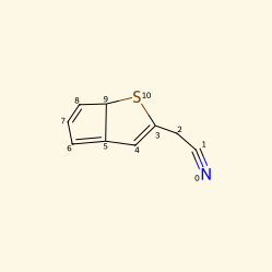 N#CCC1=CC2=CC=CC2S1